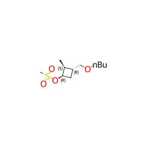 CCCCOC[C@@H]1C[C@@H](OS(C)(=O)=O)[C@H]1C